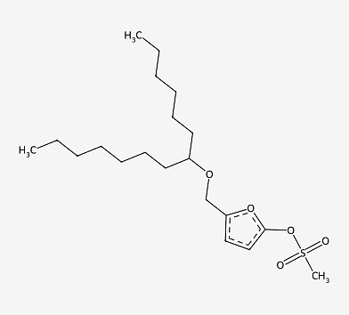 CCCCCCCC(CCCCCC)OCc1ccc(OS(C)(=O)=O)o1